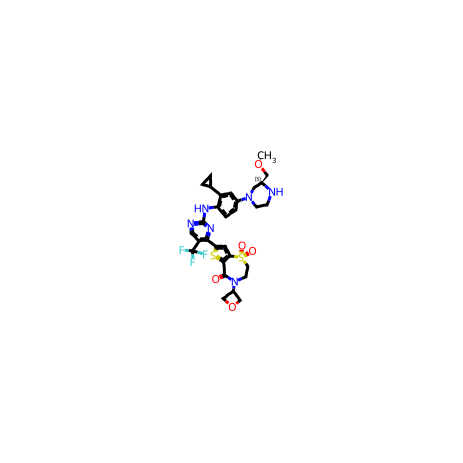 COC[C@@H]1CN(c2ccc(Nc3ncc(C(F)(F)F)c(-c4cc5c(s4)C(=O)N(C4COC4)CCS5(=O)=O)n3)c(C3CC3)c2)CCN1